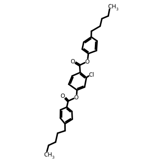 CCCCCc1ccc(OC(=O)c2ccc(OC(=O)c3ccc(CCCCC)cc3)cc2Cl)cc1